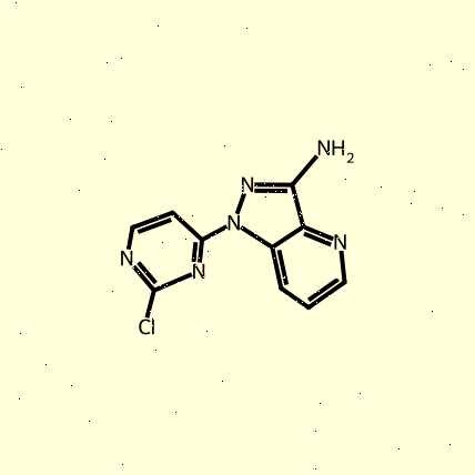 Nc1nn(-c2ccnc(Cl)n2)c2cccnc12